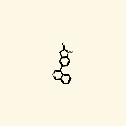 O=C1Cc2cc(-c3cncc4ccccc34)ccc2N1